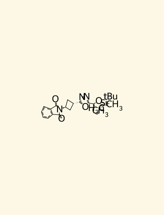 CC(O[Si](C)(C)C(C)(C)C)c1nnc([C@H]2C[C@H](N3C(=O)c4ccccc4C3=O)C2)o1